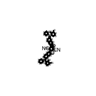 Cc1cccc(N(c2ccccc2)c2ccc3cc4c(cc3c2)oc2c(C#N)c3oc5cc6cc(N(c7ccccc7)c7cccc(C)c7C)ccc6cc5c3c(C#N)c24)c1C